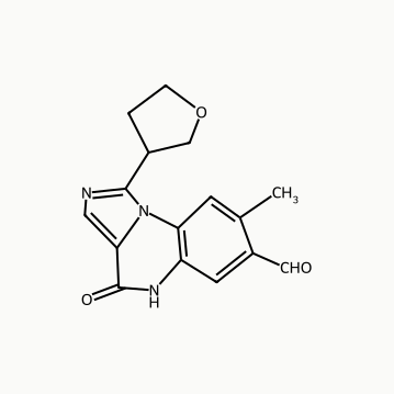 Cc1cc2c(cc1C=O)[nH]c(=O)c1cnc(C3CCOC3)n12